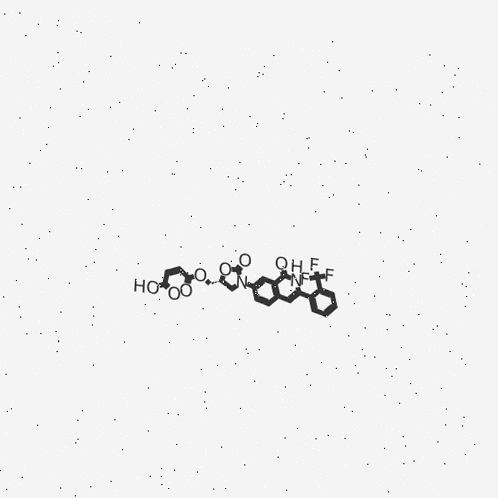 O=C(O)/C=C\C(=O)OC[C@H]1CN(c2ccc3cc(-c4ccccc4C(F)(F)F)[nH]c(=O)c3c2)C(=O)O1